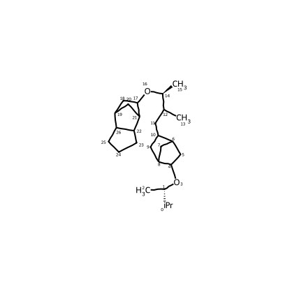 CC(C)[C@H](C)OC1CC2CC1CC2CC(C)[C@H](C)OC1CC2CC1C1CCCC21